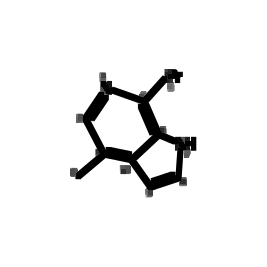 Cc1cnc(C(C)C)c2[nH]ccc12